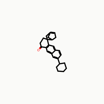 O=C1CCC2(CC3=CCC2C3)c2cc3ccc(C4CCCCC4)cc3cc21